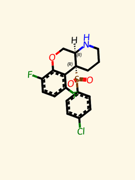 O=S(=O)(c1ccc(Cl)cc1)[C@@]12CCCN[C@@H]1COc1c(F)ccc(F)c12